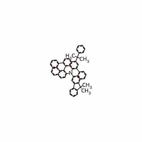 CC(C)(c1ccccc1)c1ccc(N(c2ccc3c(c2)-c2ccccc2C3(C)C)c2ccc3ccccc3c2-c2ccccc2-c2ccccc2)c(-c2ccccc2)c1